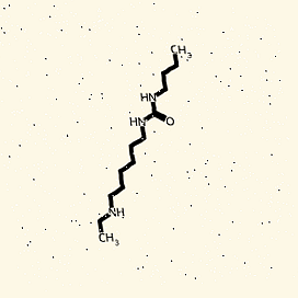 CCCCNC(=O)NCCCCCCNCC